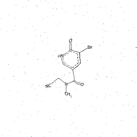 CN(CC#N)C(=O)c1c[nH]c(=O)c(Br)c1